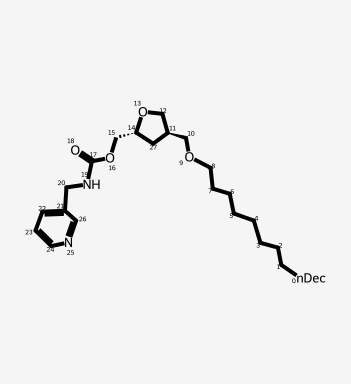 CCCCCCCCCCCCCCCCCCOC[C@@H]1CO[C@@H](COC(=O)NCc2cccnc2)C1